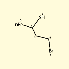 CCCC(S)CCBr